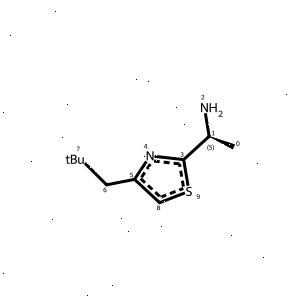 C[C@H](N)c1nc(CC(C)(C)C)cs1